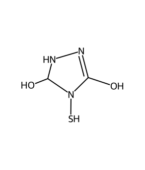 OC1=NNC(O)N1S